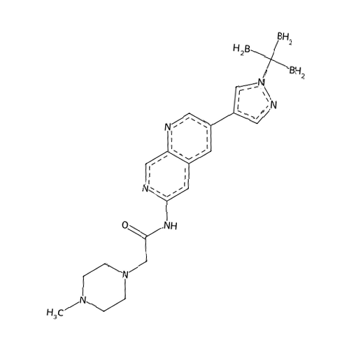 BC(B)(B)n1cc(-c2cnc3cnc(NC(=O)CN4CCN(C)CC4)cc3c2)cn1